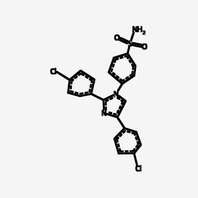 NS(=O)(=O)c1ccc(-n2cc(-c3ccc(Cl)cc3)nc2-c2ccc(Cl)cc2)cc1